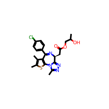 Cc1sc2c(c1C)C(c1ccc(Cl)cc1)=N[C@@H](CC(=O)OCC(C)O)c1nnc(C)n1-2